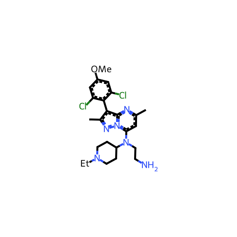 CCN1CCC(N(CCN)c2cc(C)nc3c(-c4c(Cl)cc(OC)cc4Cl)c(C)nn23)CC1